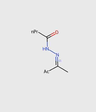 CCCC(=O)N/N=C(/C)C(C)=O